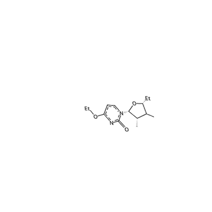 CCOc1ccn([C@@H]2O[C@H](CC)C(C)[C@@H]2C)c(=O)n1